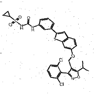 CC(C)c1onc(-c2c(Cl)cccc2Cl)c1COc1ccc2cc(-c3cccc(NC(=O)NS(=O)(=O)C4CC4)c3)sc2c1